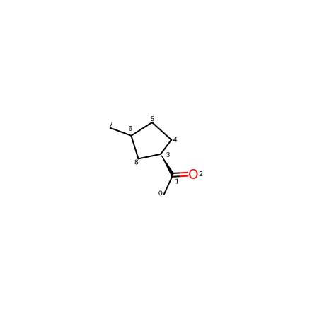 CC(=O)[C@@H]1CCC(C)C1